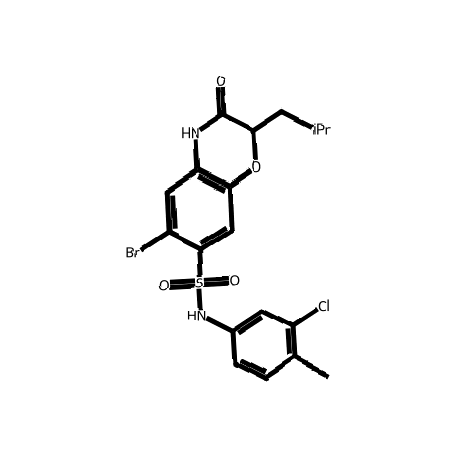 Cc1ccc(NS(=O)(=O)c2cc3c(cc2Br)NC(=O)C(CC(C)C)O3)cc1Cl